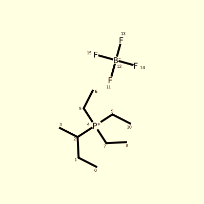 CCC(C)[P+](CC)(CC)CC.F[B-](F)(F)F